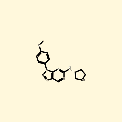 COc1ccc(-n2nnc3cnc(N[C@@H]4CCNC4)nc32)cc1